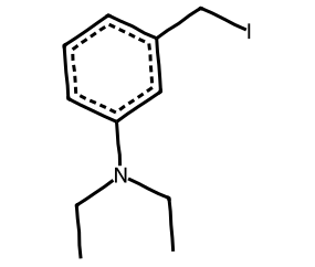 CCN(CC)c1cccc(CI)c1